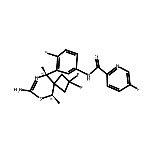 C[C@H]1SC(N)=N[C@](C)(c2cc(NC(=O)c3ccc(F)cn3)ccc2F)C12CC(F)(F)C2